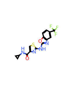 O=C(NC1CC1)c1csc(Nc2nc3cc(C(F)(F)F)ccc3o2)n1